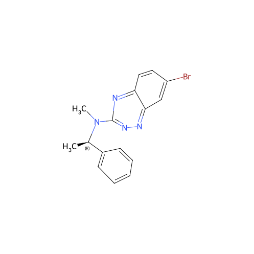 C[C@H](c1ccccc1)N(C)c1nnc2cc(Br)ccc2n1